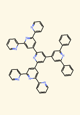 c1ccc(-c2cc(-c3cc(-c4cc(-c5ccccn5)nc(-c5ccccn5)c4)nc(-c4cc(-c5ccccn5)nc(-c5ccccn5)c4)c3)cc(-c3ccccc3)n2)cc1